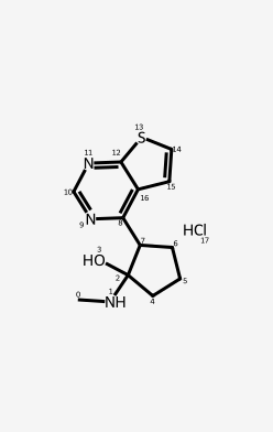 CNC1(O)CCCC1c1ncnc2sccc12.Cl